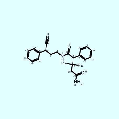 N#C[C@@H](CCNC(=O)[C@H](c1ccccc1)C(F)(F)CC(N)=O)c1ccccc1